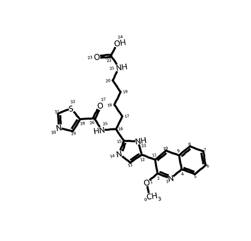 COc1nc2ccccc2cc1-c1cnc(C(CCCCNC(=O)O)NC(=O)c2cncs2)[nH]1